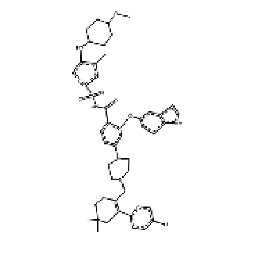 COC1CCC(Nc2ccc(S(=O)(=O)NC(=O)c3ccc(N4CCN(CC5=C(c6ccc(Cl)cc6)CC(C)(C)CC5)CC4)cc3Oc3ccc4[nH]ccc4c3)cc2C)CC1